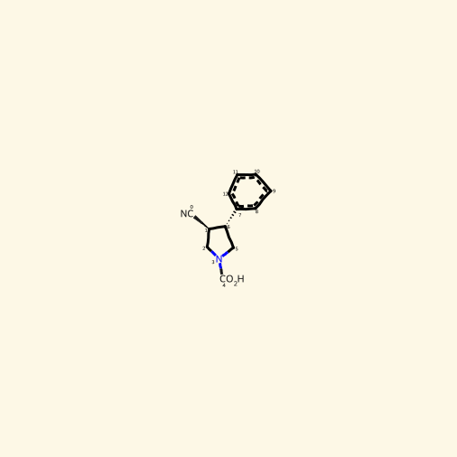 N#C[C@@H]1CN(C(=O)O)C[C@H]1c1ccccc1